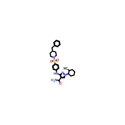 N#CC1CCCCC1n1cc(C(N)=O)c(Nc2ccc(S(=O)(=O)N3CCC(Cc4ccccc4)CC3)cc2)n1